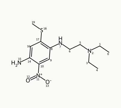 CCN(CC)CCNc1cc([N+](=O)[O-])c(N)cc1SC